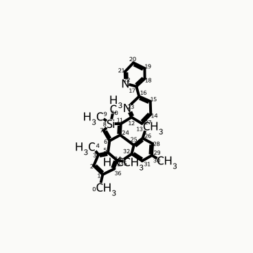 Cc1cc(C)c(C2=C[Si](C)(C)C(c3cccc(-c4ccccn4)n3)=C2c2c(C)cc(C)cc2C)c(C)c1